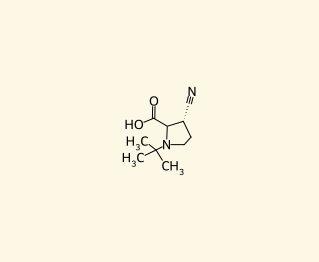 CC(C)(C)N1CC[C@@H](C#N)C1C(=O)O